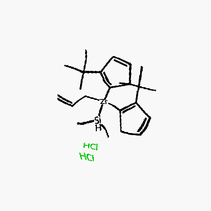 C=C[CH2][Zr]([C]1=C(C(C)(C)C)C=CC1)([C]1=C(C(C)(C)C)C=CC1)[SiH](C)C.Cl.Cl